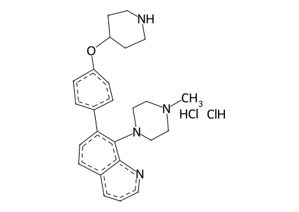 CN1CCN(c2c(-c3ccc(OC4CCNCC4)cc3)ccc3cccnc23)CC1.Cl.Cl